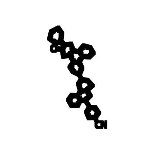 N#Cc1ccc(-c2cc3ccc(-c4ccc5c(c4)c4ccccc4c4cc6c(cc54)oc4ccccc46)cc3c3ccccc23)cc1